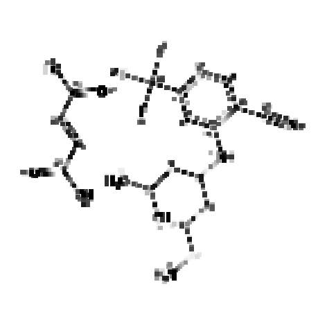 CC(C)CC(CCCN)Nc1cc(C(F)(F)F)ccc1C#N.O=C(O)C=CC(=O)O